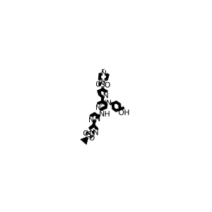 CN1CCN(S(=O)(=O)c2ccc(-c3cnc(Nc4ccnc(-c5cnn(S(=O)(=O)C6CC6)c5)n4)cc3NC3CCC(C)(O)CC3)nc2)CC1